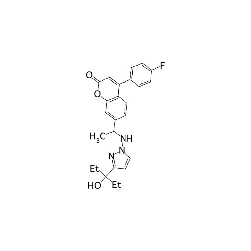 CCC(O)(CC)c1ccn(NC(C)c2ccc3c(-c4ccc(F)cc4)cc(=O)oc3c2)n1